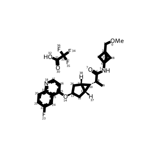 COCC12CC(NC(=O)C(C)[C@@H]3[C@@H]4C[C@@H](Oc5ccnc6ccc(F)cc56)C[C@@H]43)(C1)C2.O=C(O)C(F)(F)F